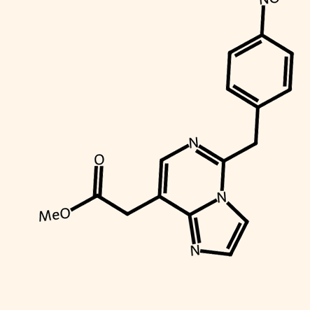 COC(=O)Cc1cnc(Cc2ccc(N=O)cc2)n2ccnc12